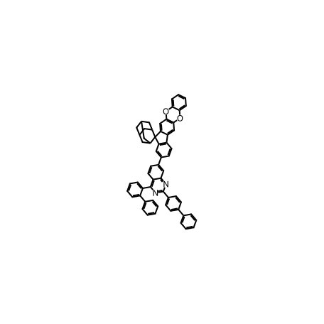 c1ccc(-c2ccc(-c3nc(-c4ccccc4-c4ccccc4)c4ccc(-c5ccc6c(c5)C5(c7cc8c(cc7-6)Oc6ccccc6O8)C6CC7CC(C6)CC5C7)cc4n3)cc2)cc1